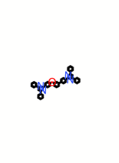 c1ccc(-c2cc(-c3ccccc3)nc(-c3ccc(Oc4cccc(-c5ccc(-c6nc(-c7ccccc7)cc(-c7ccccc7)n6)cc5)c4)cc3)n2)cc1